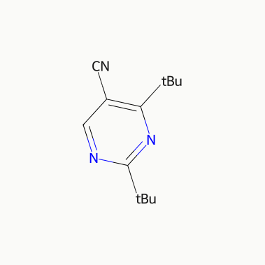 CC(C)(C)c1ncc(C#N)c(C(C)(C)C)n1